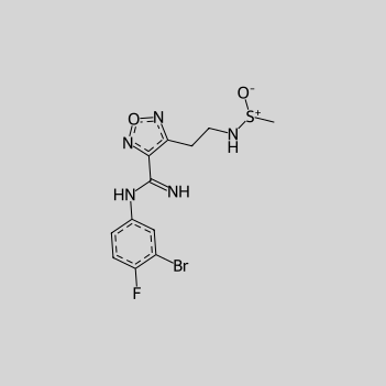 C[S+]([O-])NCCc1nonc1C(=N)Nc1ccc(F)c(Br)c1